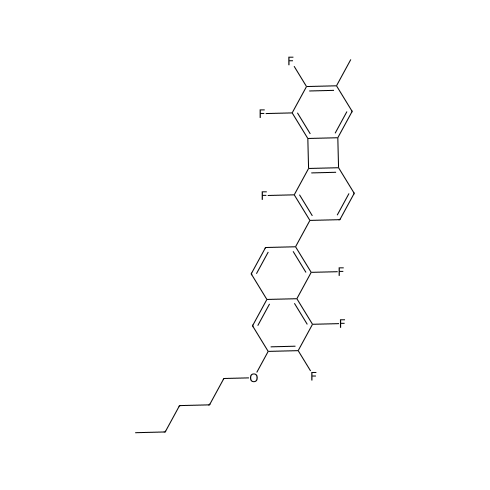 CCCCCOc1cc2ccc(-c3ccc4c(c3F)-c3c-4cc(C)c(F)c3F)c(F)c2c(F)c1F